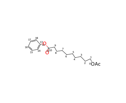 CC(=O)OCCCCCCCCCC(=O)Oc1ccccc1